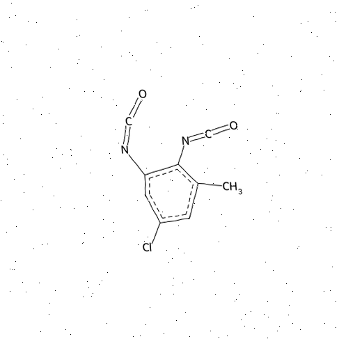 Cc1cc(Cl)cc(N=C=O)c1N=C=O